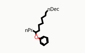 CCCCCCCCCCCCCCCCC(CCC)Oc1ccccc1